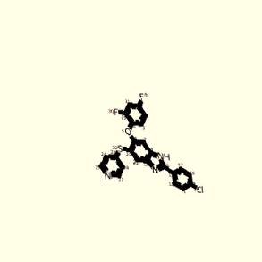 Fc1ccc(Oc2cc3[nH]c(-c4ccc(Cl)cc4)nc3cc2Sc2ccncc2)c(F)c1